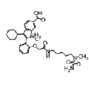 CN(CCCCCNC(=O)COc1ccccc1-c1c(C2CCCCC2)c2ccc(C(=O)O)cc2n1C)S(N)(=O)=O